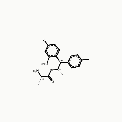 COc1cc(F)ccc1[C@@H](c1ccc(C)cc1)[C@H](C)OC(=O)[C@H](C)N